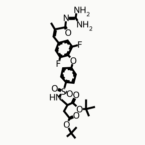 CC(=Cc1cc(F)c(Oc2ccc(S(=O)(=O)NC(CC(=O)OC(C)(C)C)C(=O)OC(C)(C)C)cc2)c(F)c1)C(=O)N=C(N)N